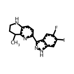 CC1CCNc2ccc(-c3n[nH]c4cc(I)c(F)cc34)nc21